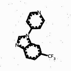 FC(F)(F)c1ccc2ncn(-c3ccncc3)c2c1